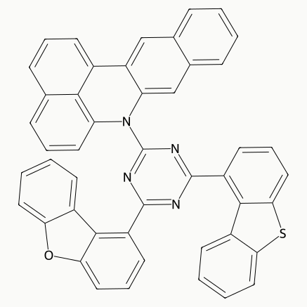 c1ccc2cc3c(cc2c1)-c1cccc2cccc(c12)N3c1nc(-c2cccc3oc4ccccc4c23)nc(-c2cccc3sc4ccccc4c23)n1